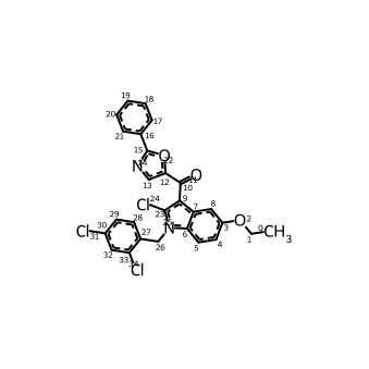 CCOc1ccc2c(c1)c(C(=O)c1cnc(-c3ccccc3)o1)c(Cl)n2Cc1ccc(Cl)cc1Cl